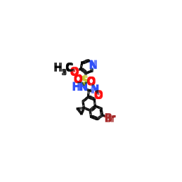 COc1ccncc1S(=O)(=O)Nc1noc2c1CC1(CC1)c1ccc(Br)cc1-2